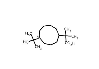 CC(C)(C(=O)O)C1CCCC[C@H](C(C)(C)O)CCC1